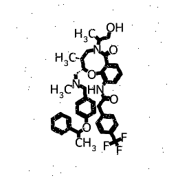 CC(Oc1ccc(CN(C)C[C@H]2Oc3c(NC(=O)Cc4ccc(C(F)(F)F)cc4)cccc3C(=O)N(C(C)CO)C[C@H]2C)cc1)c1ccccc1